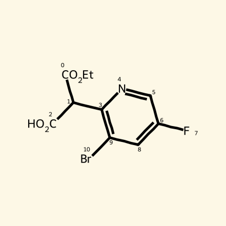 CCOC(=O)C(C(=O)O)c1ncc(F)cc1Br